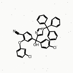 N#Cc1ccc(C(O)(c2ccc(Cl)cc2)c2cn(C(c3ccccc3)(c3ccccc3)c3ccccc3)cn2)cc1Oc1cccc(Cl)c1